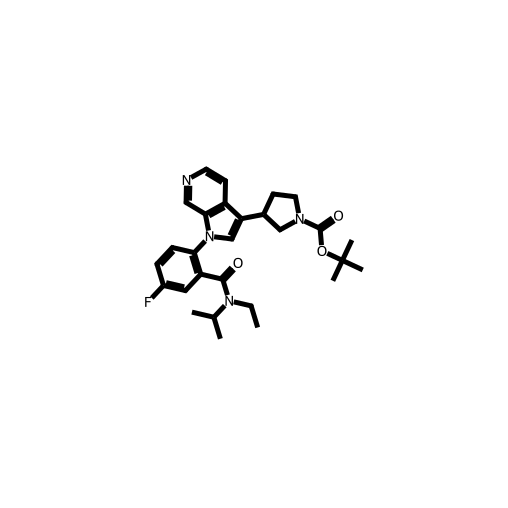 CCN(C(=O)c1cc(F)ccc1-n1cc(C2CCN(C(=O)OC(C)(C)C)C2)c2ccncc21)C(C)C